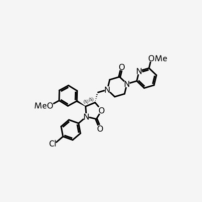 COc1cccc([C@H]2[C@H](CN3CCN(c4cccc(OC)n4)C(=O)C3)OC(=O)N2c2ccc(Cl)cc2)c1